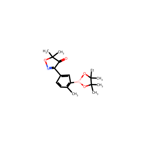 CCC1(C)OB(c2cc(C3=NOC(C)(C)C3=O)ccc2C)OC1(C)C